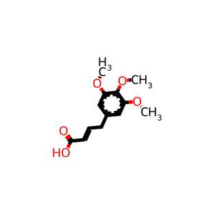 COc1cc(CC=CC(=O)O)cc(OC)c1OC